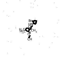 C#CCO/N=C1\CC(C)(C)Cc2oc(CNc3ccccc3Br)c(C)c21